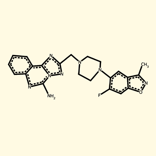 Cc1noc2cc(F)c(N3CCN(Cc4nc5c6ccccc6nc(N)n5n4)CC3)cc12